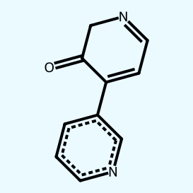 O=C1CN=CC=C1c1cccnc1